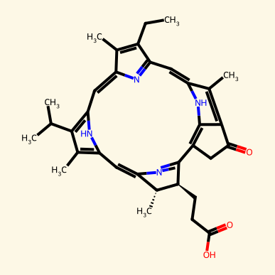 CCC1=C(C)c2cc3[nH]c(cc4nc(c5c6[nH]c(cc1n2)c(C)c6C(=O)C5)[C@@H](CCC(=O)O)[C@@H]4C)c(C)c3C(C)C